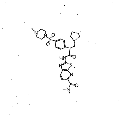 CN1CCN(S(=O)(=O)c2ccc([C@@H](CC3CCCC3)C(=O)Nc3nc4ccc(C(=O)N(C)C)nc4s3)cc2)CC1